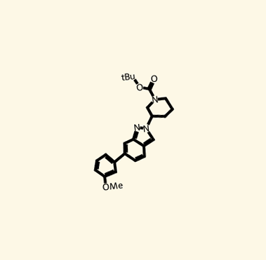 COc1cccc(-c2ccc3cn(C4CCCN(C(=O)OC(C)(C)C)C4)nc3c2)c1